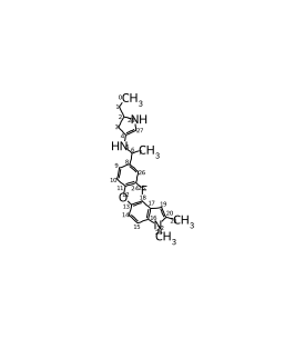 CCC1CC(NC(C)c2ccc(Oc3ccc4c(c3)cc(C)n4C)c(F)c2)=CN1